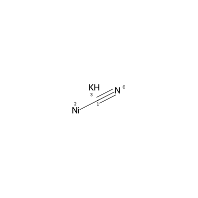 N#[C][Ni].[KH]